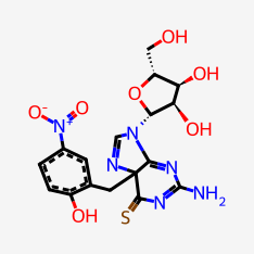 NC1=NC(=S)C2(Cc3cc([N+](=O)[O-])ccc3O)N=CN([C@@H]3O[C@H](CO)[C@@H](O)[C@H]3O)C2=N1